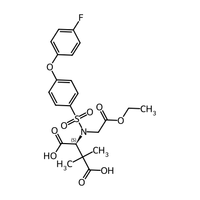 CCOC(=O)CN([C@H](C(=O)O)C(C)(C)C(=O)O)S(=O)(=O)c1ccc(Oc2ccc(F)cc2)cc1